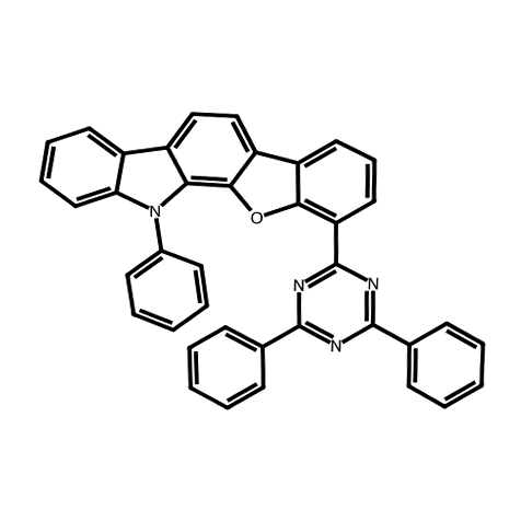 c1ccc(-c2nc(-c3ccccc3)nc(-c3cccc4c3oc3c4ccc4c5ccccc5n(-c5ccccc5)c43)n2)cc1